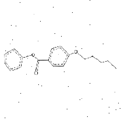 CCCCCOc1ccc(C(=O)Oc2ccccc2)cc1